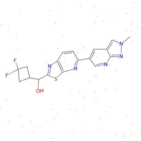 Cn1cc2cc(-c3ccc4nc(C(O)C5CC(F)(F)C5)sc4n3)cnc2n1